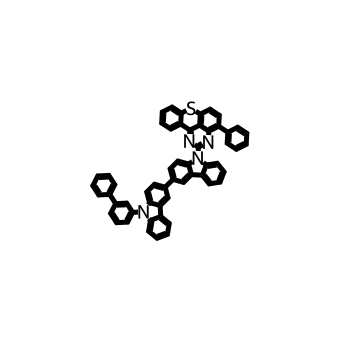 c1ccc(-c2cccc(-n3c4ccccc4c4cc(-c5ccc6c(c5)c5ccccc5n6-c5nc6c7c(ccc(-c8ccccc8)c7n5)Sc5ccccc5-6)ccc43)c2)cc1